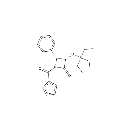 CC[Si](CC)(CC)O[C@@H]1C(=O)N(C(=O)c2cccs2)[C@@H]1c1ccccc1